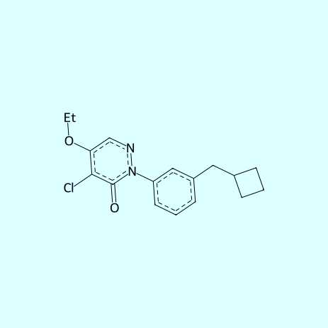 CCOc1cnn(-c2cccc(CC3CCC3)c2)c(=O)c1Cl